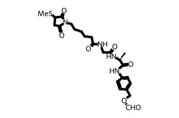 CSC1CC(=O)N(CCCCCC(=O)NCC(=O)N[C@@H](C)C(=O)Nc2ccc(COC=O)cc2)C1=O